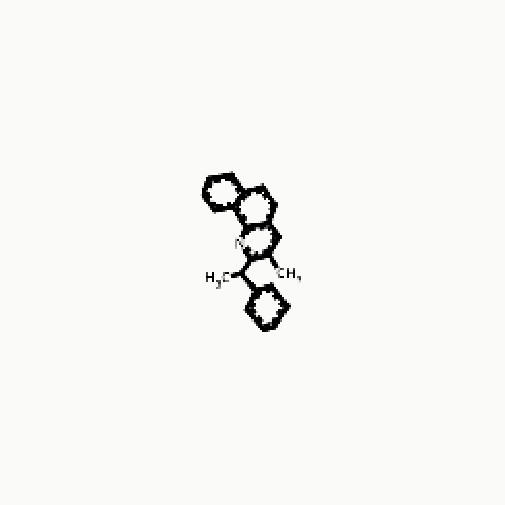 Cc1cc2ccc3ccccc3c2nc1C(C)c1ccccc1